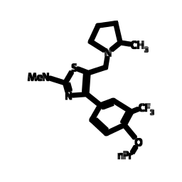 CCCOc1ccc(-c2nc(NC)sc2CN2CCCC2C)cc1C(F)(F)F